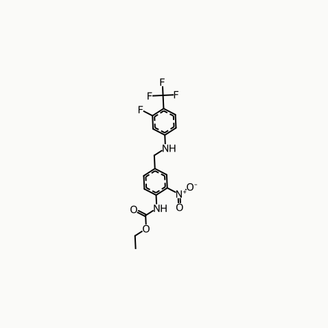 CCOC(=O)Nc1ccc(CNc2ccc(C(F)(F)F)c(F)c2)cc1[N+](=O)[O-]